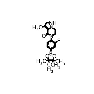 CC1=C2C(=O)N(c3ccc(B4OC(C)(C)C(C)(C)O4)cc3F)CCN2NC1